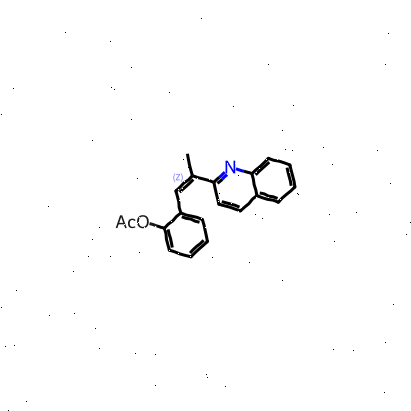 CC(=O)Oc1ccccc1/C=C(/C)c1ccc2ccccc2n1